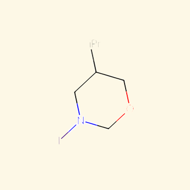 CC(C)C1COCN(I)C1